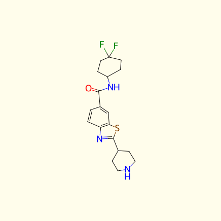 O=C(NC1CCC(F)(F)CC1)c1ccc2nc(C3CCNCC3)sc2c1